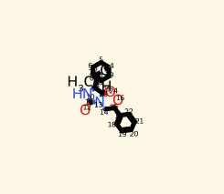 CC1([C@H]2CC3CCC2CC3)NC(=O)N(CC(=O)c2ccccc2)C1=O